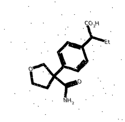 CCC(C(=O)O)c1ccc(C2(C(N)=O)CCOC2)cc1